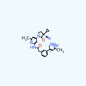 CC(=N)/C=C(\CN)c1cccc(CC(=O)Nc2cc(N3CC[C@@](C#N)(C4CC4)C3=O)cc(C)n2)c1